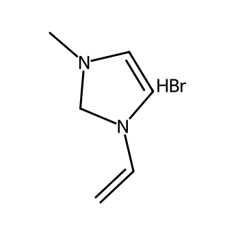 Br.C=CN1C=CN(C)C1